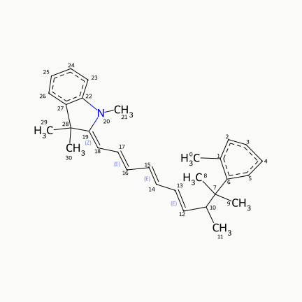 Cc1ccccc1C(C)(C)C(C)/C=C/C=C/C=C/C=C1\N(C)c2ccccc2C1(C)C